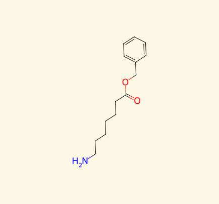 NCCCCCCC(=O)OCc1ccccc1